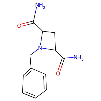 NC(=O)C1CC(C(N)=O)N1Cc1ccccc1